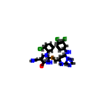 N#CC1=CN(c2ccccc2Cl)C(SCc2cc(Nc3ccc(Cl)c(Cl)c3)n3ncnc3n2)NC1=O